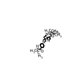 CC(C)NC(=O)c1ccc(N2CC(CC#N)(n3cc(B4OC(C)(C)C(C)(C)O4)cn3)C2)cc1